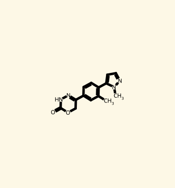 Cc1cc(C2=NNC(=O)OC2)ccc1-c1ccnn1C